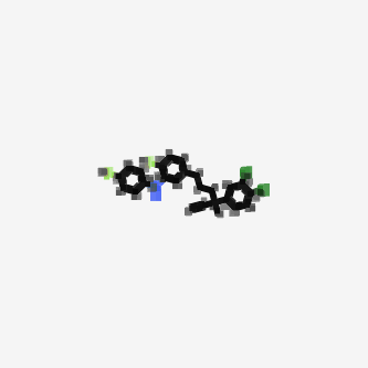 C#CC(C)(CCCc1ccc(F)c(Nc2ccc(F)cc2)c1)c1ccc(Cl)c(Cl)c1